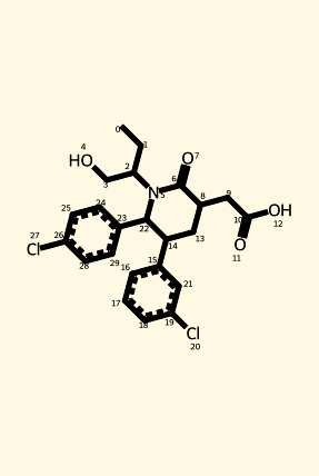 CCC(CO)N1C(=O)C(CC(=O)O)CC(c2cccc(Cl)c2)C1c1ccc(Cl)cc1